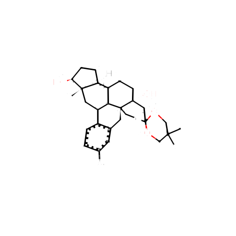 CC(=O)c1ccc2c(c1)C[C@]13CCC4(C[C@]1(O)CC[C@@H]1C3C2C[C@]2(C)[C@@H](O)CC[C@@H]12)OCC(C)(C)CO4